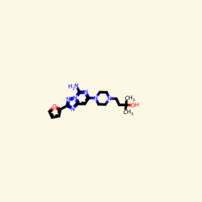 CC(C)(O)CCN1CCN(c2cc3nc(-c4ccco4)nn3c(N)n2)CC1